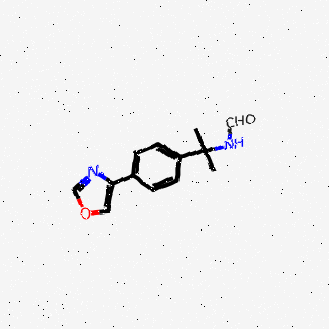 CC(C)(NC=O)c1ccc(-c2cocn2)cc1